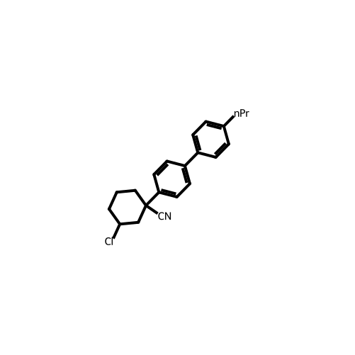 CCCc1ccc(-c2ccc(C3(C#N)CCCC(Cl)C3)cc2)cc1